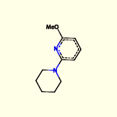 COc1cccc(N2CCCCC2)n1